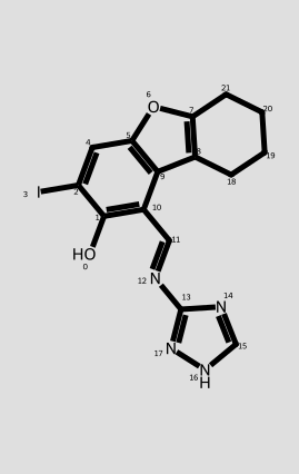 Oc1c(I)cc2oc3c(c2c1/C=N/c1nc[nH]n1)CCCC3